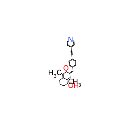 CC1=C2CCC[C@H](O)[C@@]2(C)C/C(=C/c2ccc(C#Cc3ccncc3)cc2)C1=O